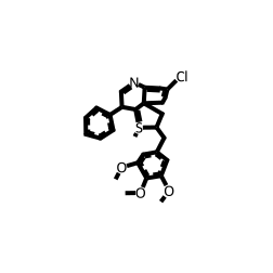 COc1cc(CC2CC34CC=C(Cl)C=C3N=CC(c3ccccc3)C4=S2C)cc(OC)c1OC